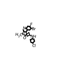 CN1C(=O)C2(CC(Nc3ccc(Cl)cc3)C2)c2c1cnc1cc(F)c(Br)cc21